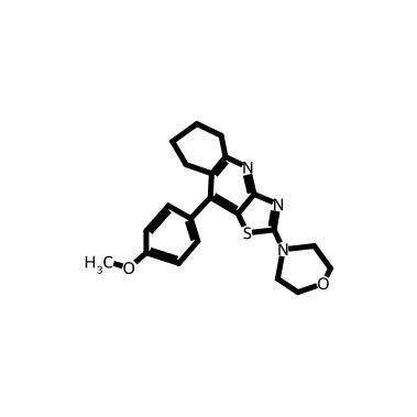 COc1ccc(-c2c3c(nc4nc(N5CCOCC5)sc24)CCCC3)cc1